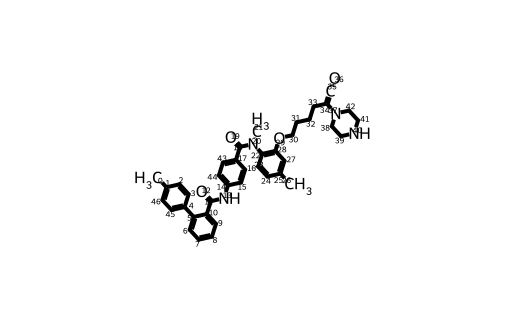 Cc1ccc(-c2ccccc2C(=O)Nc2ccc(C(=O)N(C)c3ccc(C)cc3OCCCCC(=C=O)N3CCNCC3)cc2)cc1